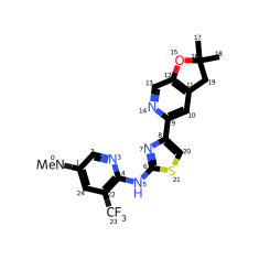 CNc1cnc(Nc2nc(-c3cc4c(cn3)OC(C)(C)C4)cs2)c(C(F)(F)F)c1